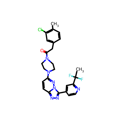 Cc1ccc(CC(=O)N2CCN(c3ccc4nnc(-c5ccnc(C(C)(F)F)c5)n4n3)CC2)cc1Cl